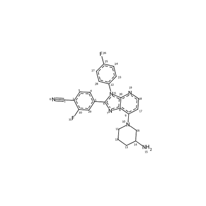 N#Cc1ccc(-c2nc3c(N4CCCC(N)C4)ccnc3n2-c2ccc(F)cc2)cc1F